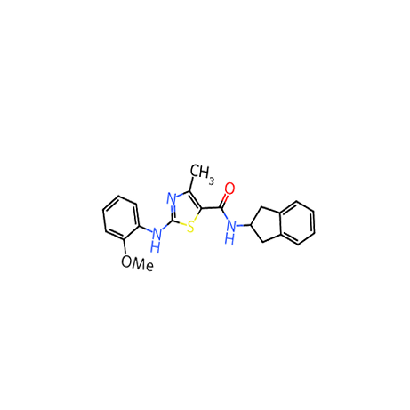 COc1ccccc1Nc1nc(C)c(C(=O)NC2Cc3ccccc3C2)s1